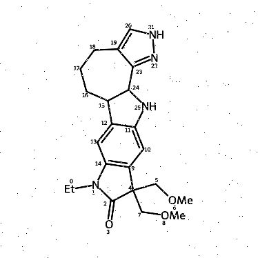 CCN1C(=O)C(COC)(COC)c2cc3c(cc21)C1CCCc2c[nH]nc2C1N3